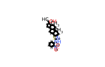 C#CC1(O)CCC2C3CC=C4c5sc(Nc6ccccc6[N+](=O)[O-])nc5CCC4(C)C3CCC21C